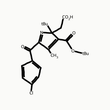 CC1=C(C(=O)OC(C)(C)C)C(CC(=O)O)(C(C)(C)C)N=C1C(=O)c1ccc(Cl)cc1